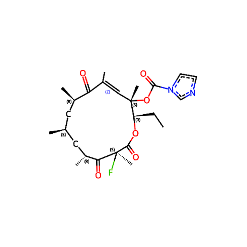 CC[C@H]1OC(=O)[C@@](C)(F)C(=O)[C@H](C)C[C@@H](C)C[C@@H](C)C(=O)/C(C)=C\[C@]1(C)OC(=O)n1ccnc1